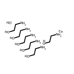 Cl.NCCO.NCCO.NCCO.NCCO.NCCO.NCCO.[Co]